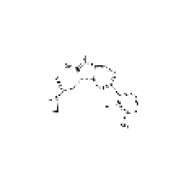 Cc1c(-c2cnc3[nH]c(=O)n(CC(=O)N4CCC4)c3c2)cccc1C(F)(F)F